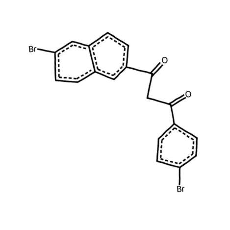 O=C(CC(=O)c1ccc2cc(Br)ccc2c1)c1ccc(Br)cc1